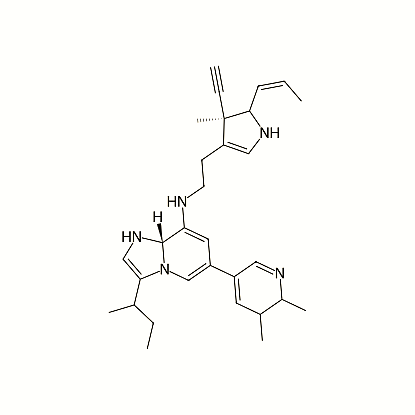 C#C[C@]1(C)C(CCNC2=CC(C3=CC(C)C(C)N=C3)=CN3C(C(C)CC)=CN[C@H]23)=CNC1/C=C\C